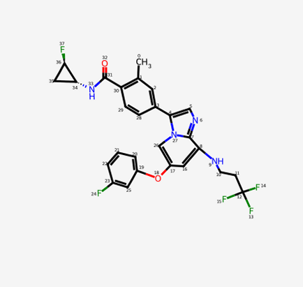 Cc1cc(-c2cnc3c(NCCC(F)(F)F)cc(Oc4cccc(F)c4)cn23)ccc1C(=O)N[C@@H]1C[C@H]1F